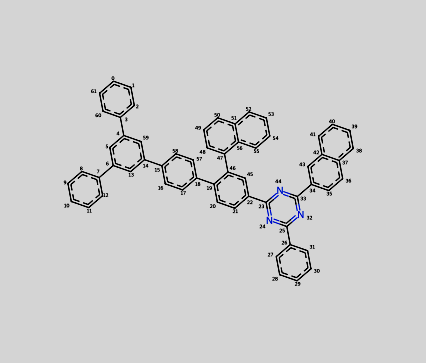 c1ccc(-c2cc(-c3ccccc3)cc(-c3ccc(-c4ccc(-c5nc(-c6ccccc6)nc(-c6ccc7ccccc7c6)n5)cc4-c4cccc5ccccc45)cc3)c2)cc1